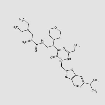 C=C(CN(CC)CC)C(=O)NCC(NC(=O)[C@H](Cc1nc2ccc(C(C)C)cc2s1)NC(=O)CC)C1CCOCC1